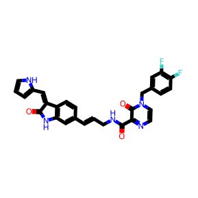 O=C1Nc2cc(/C=C/CNC(=O)c3nccn(Cc4ccc(F)c(F)c4)c3=O)ccc2/C1=C/c1ccc[nH]1